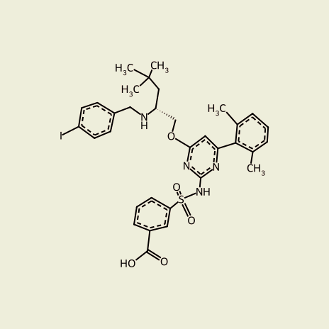 Cc1cccc(C)c1-c1cc(OC[C@@H](CC(C)(C)C)NCc2ccc(I)cc2)nc(NS(=O)(=O)c2cccc(C(=O)O)c2)n1